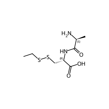 CCSSC[C@H](NC(=O)[C@H](C)N)C(=O)O